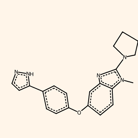 Cn1c(N2CCCC2)nc2cc(Oc3ccc(-c4ccn[nH]4)cc3)ccc21